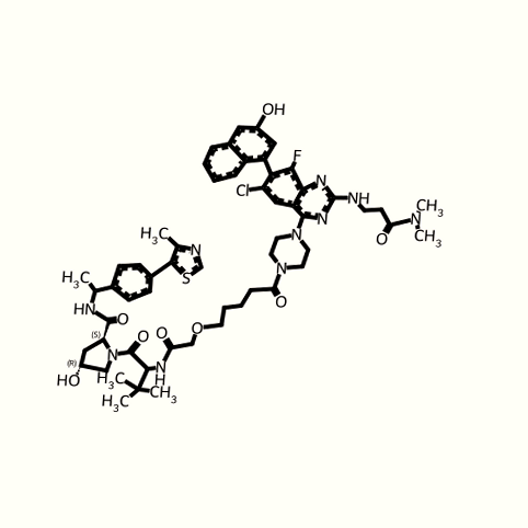 Cc1ncsc1-c1ccc(C(C)NC(=O)[C@@H]2C[C@@H](O)CN2C(=O)C(NC(=O)COCCCCC(=O)N2CCN(c3nc(NCCC(=O)N(C)C)nc4c(F)c(-c5cc(O)cc6ccccc56)c(Cl)cc34)CC2)C(C)(C)C)cc1